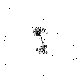 COC(=O)N[C@H](C(=O)N1CCN(CC(F)(F)F)C[C@H]1c1nc(-c2ccc(C#Cc3ccc(-c4cnc([C@@H]5CCCN5C(=O)[C@@H](NC(=O)OC)C(C)C)[nH]4)cc3)cc2)c[nH]1)C(C)C